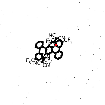 N#CC(C#N)=c1nc2c(-c3ccccc3-c3cc(C(F)(F)F)cc(C(F)(F)F)c3)c3oc(=C(C#N)C#N)nc3c(-c3ccccc3-c3cc(C(F)(F)F)cc(C(F)(F)F)c3)c2o1